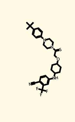 CC(C)(C)c1ccc(N2CCN(C(=S)COC3CCC(Nc4ccc(C#N)c(C(F)(F)F)c4)CC3)CC2)cc1